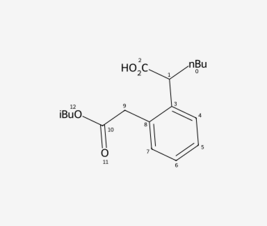 CCCCC(C(=O)O)c1ccccc1CC(=O)OCC(C)C